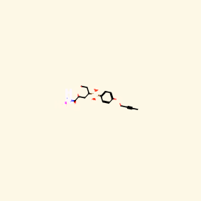 CC#CCOc1ccc(S(=O)(=O)C2CCOC(C(=O)NO)C2)cc1